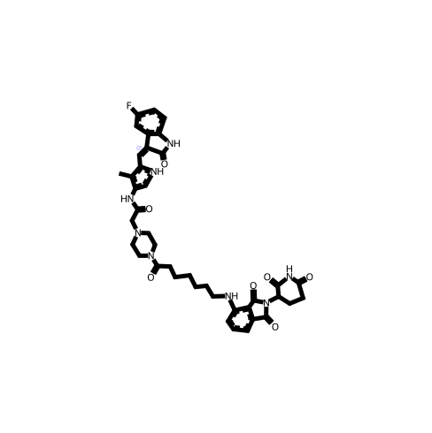 Cc1c(NC(=O)CN2CCN(C(=O)CCCCCCNc3cccc4c3C(=O)N(C3CCC(=O)NC3=O)C4=O)CC2)c[nH]c1/C=C1\C(=O)Nc2ccc(F)cc21